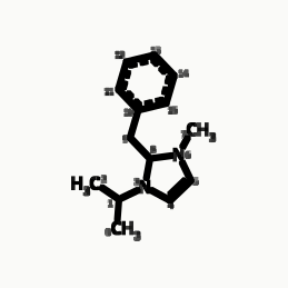 CC(C)N1C=CN(C)C1Cc1ccccc1